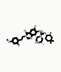 COc1ccc(CCn2cnc3cc(N/C(=N/[C@H]4CCC(C)(C)C[C@@H]4C)N4CCN[C@@H](C)C4)c(F)cc3c2=O)c(F)c1